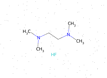 CN(C)CCN(C)C.F